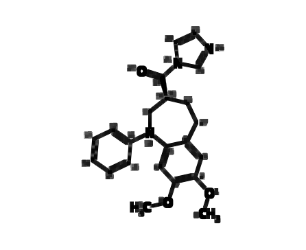 COc1cc2c(cc1OC)N(c1ccccc1)C[C@@H](C(=O)n1ccnc1)CC2